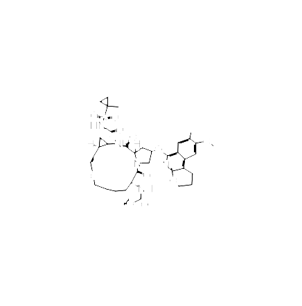 CC[C@@H]1C[C@H](C)CC/C=C\[C@@H]2C[C@@]2(C(=O)NS(=O)(=O)C2(C)CC2)NC(=O)[C@@H]2C[C@@H](Oc3nc4c(c5cc(OC)c(F)cc35)CCCO4)CN2C(=O)[C@H]1NC(=O)O